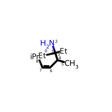 CCC(N)(CC)C(C)/C=C\C(C)C